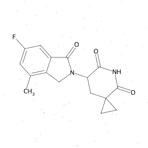 Cc1cc(F)cc2c1CN(C1CC3(CC3)C(=O)NC1=O)C2=O